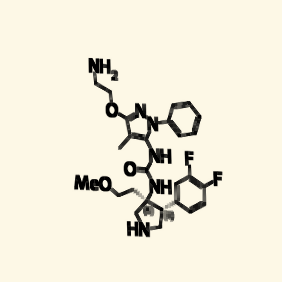 COCC[C@@]1(NC(=O)Nc2c(C)c(OCCN)nn2-c2ccccc2)CNC[C@H]1c1ccc(F)c(F)c1